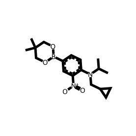 CC(C)N(CC1CC1)c1ccc(B2OCC(C)(C)CO2)cc1[N+](=O)[O-]